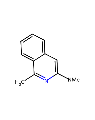 CNc1cc2ccccc2c(C)n1